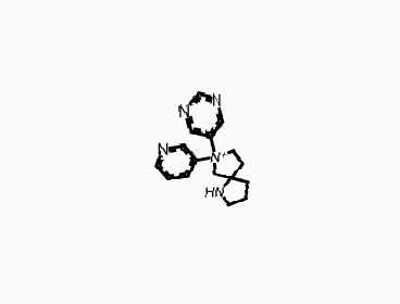 c1cncc([N+]2(c3cncnc3)CCC3(CCCN3)C2)c1